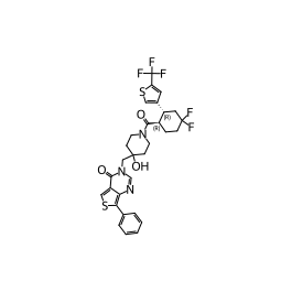 O=C([C@@H]1CCC(F)(F)C[C@H]1c1csc(C(F)(F)F)c1)N1CCC(O)(Cn2cnc3c(-c4ccccc4)scc3c2=O)CC1